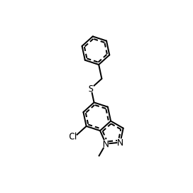 Cn1ncc2cc(SCc3ccccc3)cc(Cl)c21